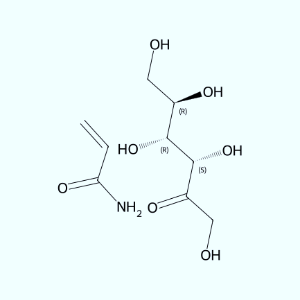 C=CC(N)=O.O=C(CO)[C@@H](O)[C@H](O)[C@H](O)CO